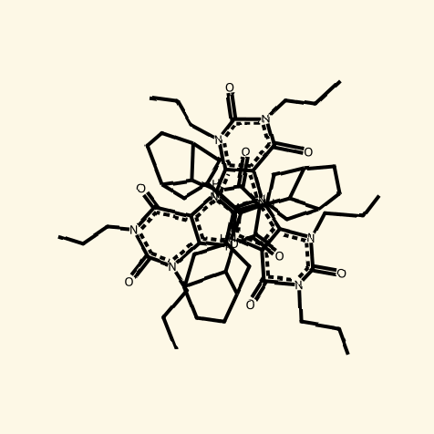 CCCn1c(=O)c2[nH]c(C3CC4CCC(C3)C4OC(=O)C(C(=O)OC3C4CCC3CC(c3nc5c([nH]3)c(=O)n(CCC)c(=O)n5CCC)C4)C3C4CCC3CC(c3nc5c([nH]3)c(=O)n(CCC)c(=O)n5CCC)C4)nc2n(CCC)c1=O